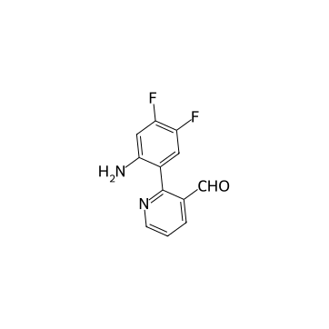 Nc1cc(F)c(F)cc1-c1ncccc1C=O